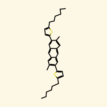 CCCCCCc1ccc(-c2cc3cc4cc(C)c(-c5ccc(CCCCCC)s5)cc4cc3cc2C)s1